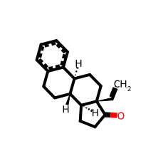 C=C[C@]12CC[C@@H]3c4ccccc4CC[C@H]3[C@@H]1CCC2=O